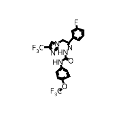 O=C(NN=C(Cn1cnc(C(F)(F)F)c1)c1cccc(F)c1)Nc1ccc(OC(F)(F)F)cc1